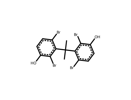 CC(C)(c1c(Br)ccc(O)c1Br)c1c(Br)ccc(O)c1Br